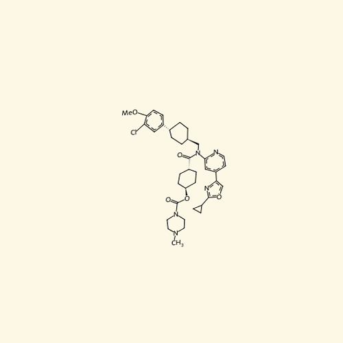 COc1ccc([C@H]2CC[C@H](CN(c3cc(-c4coc(C5CC5)n4)ccn3)C(=O)[C@H]3CC[C@H](OC(=O)N4CCN(C)CC4)CC3)CC2)cc1Cl